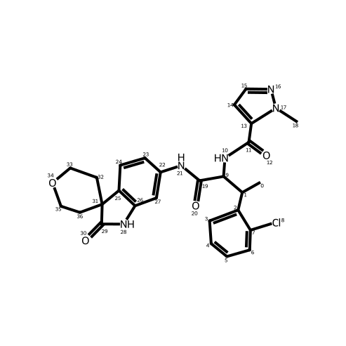 CC(c1ccccc1Cl)C(NC(=O)c1ccnn1C)C(=O)Nc1ccc2c(c1)NC(=O)C21CCOCC1